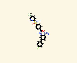 N=S(=O)(c1ccc(C(=O)Nc2cc(-c3ccc(F)cc3)ccc2N)cc1)c1ccc(Cl)cn1